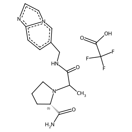 CC(C(=O)NCc1ccc2nccn2c1)N1CCC[C@H]1C(N)=O.O=C(O)C(F)(F)F